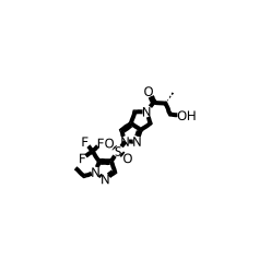 CCn1ncc(S(=O)(=O)n2cc3c(n2)CN(C(=O)[C@H](C)CO)C3)c1C(F)(F)F